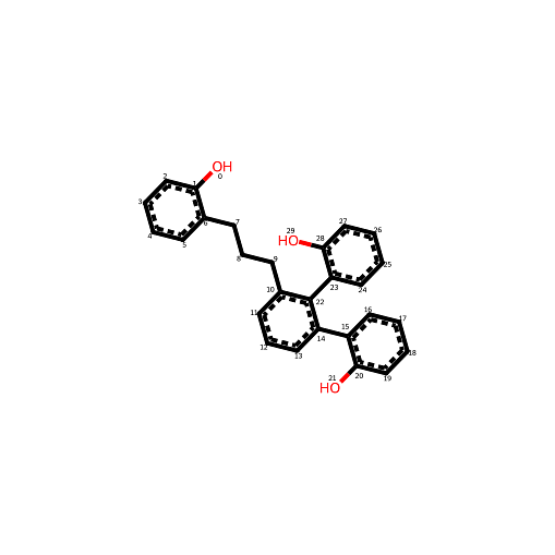 Oc1ccccc1CCCc1[c]ccc(-c2ccccc2O)c1-c1ccccc1O